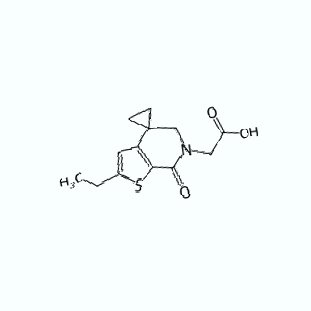 CCc1cc2c(s1)C(=O)N(CC(=O)O)CC21CC1